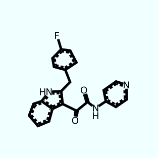 O=C(Nc1ccncc1)C(=O)c1c(Cc2ccc(F)cc2)[nH]c2ccccc12